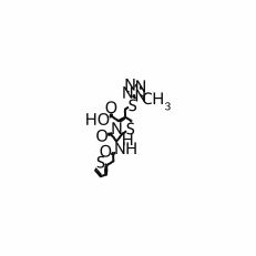 Cn1nnnc1SCC1=C(C(=O)O)N2C(=O)[C@@H](NC(=O)Cc3cccs3)[C@H]2SC1